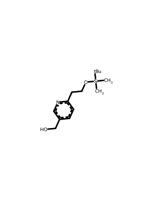 CC(C)(C)[Si](C)(C)OCCc1ccc(CO)cn1